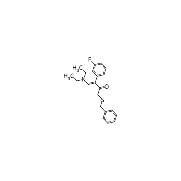 CCN(C=C(C(=O)CSCc1ccccc1)c1cccc(F)c1)CC